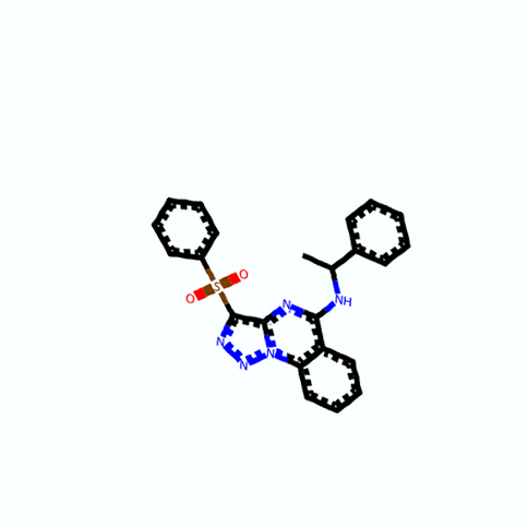 CC(Nc1nc2c(S(=O)(=O)c3ccccc3)nnn2c2ccccc12)c1ccccc1